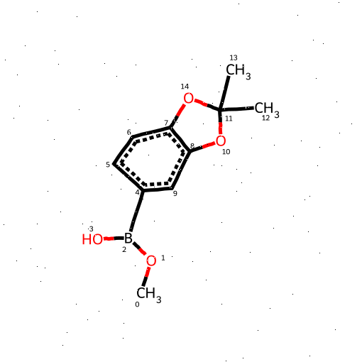 COB(O)c1ccc2c(c1)OC(C)(C)O2